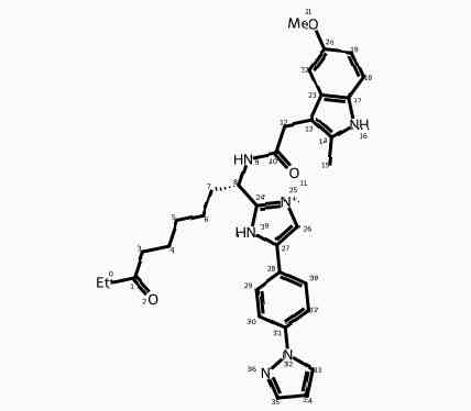 CCC(=O)CCCCC[C@H](NC(=O)Cc1c(C)[nH]c2ccc(OC)cc12)C1=[N+]C=C(c2ccc(-n3cccn3)cc2)N1